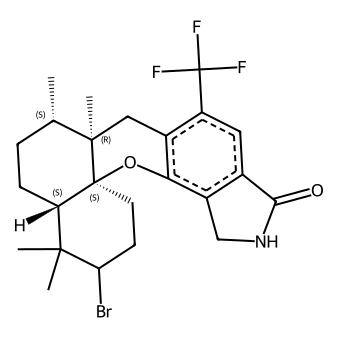 C[C@H]1CC[C@H]2C(C)(C)C(Br)CC[C@]23Oc2c4c(cc(C(F)(F)F)c2C[C@]13C)C(=O)NC4